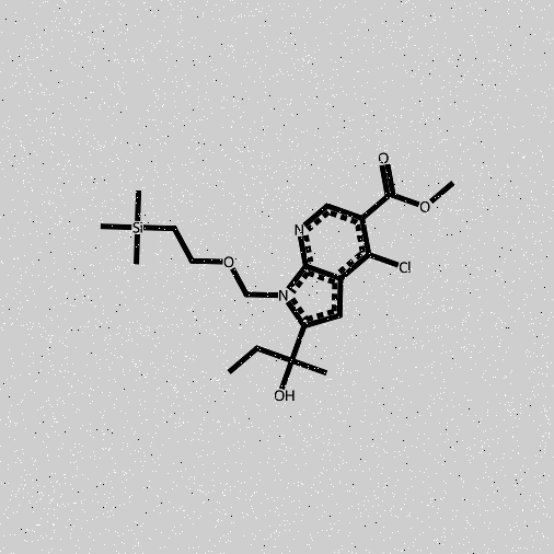 CCC(C)(O)c1cc2c(Cl)c(C(=O)OC)cnc2n1COCC[Si](C)(C)C